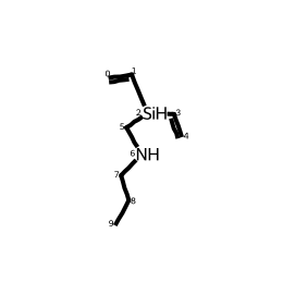 C=C[SiH](C=C)CNCCC